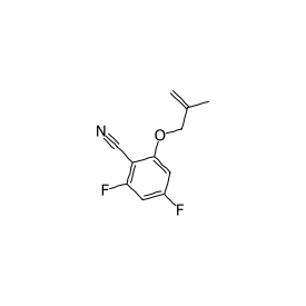 C=C(C)COc1cc(F)cc(F)c1C#N